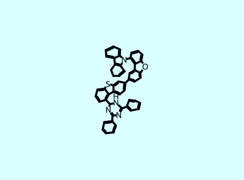 C1=Cc2c(c3ccccc3n2-c2cccc3oc4ccc(-c5ccc6c(c5)sc5cccc(C7N=C(c8ccccc8)N=C(c8ccccc8)N7)c56)cc4c23)CC1